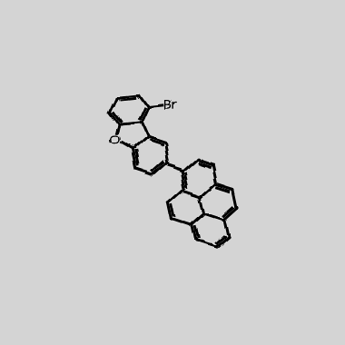 Brc1cccc2oc3ccc(C4=C5C=CC6=CC=CC7=CC=C(C=C4)C5C67)cc3c12